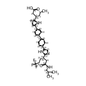 CCC[C@H](CC(=O)O)c1ncc(-c2ccc(-c3ccc(-c4cnc([C@H](CCC(F)(F)F)CC(=O)NCC(C)C)[nH]4)cc3)cc2)[nH]1